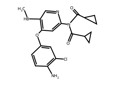 CBc1cnc(N(C(=O)C2CC2)C(=O)C2CC2)cc1Oc1ccc(N)c(Cl)c1